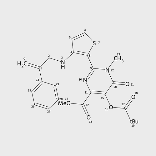 C=C(CNc1ccsc1-c1nc(C(=O)OC)c(OC(=O)C(C)(C)C)c(=O)n1C)c1ccccc1